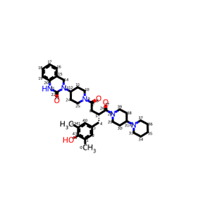 Cc1cc(C[C@H](CC(=O)N2CCC(N3Cc4ccccc4NC3=O)CC2)C(=O)N2CCC(N3CCCCC3)CC2)cc(C)c1O